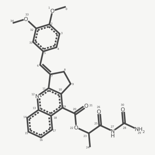 COc1ccc(/C=C2\CCc3c2nc2ccccc2c3C(=O)OC(C)C(=O)NC(N)=O)cc1OC